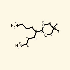 CC1(C)COC(C(CCCN)CCCN)OC1